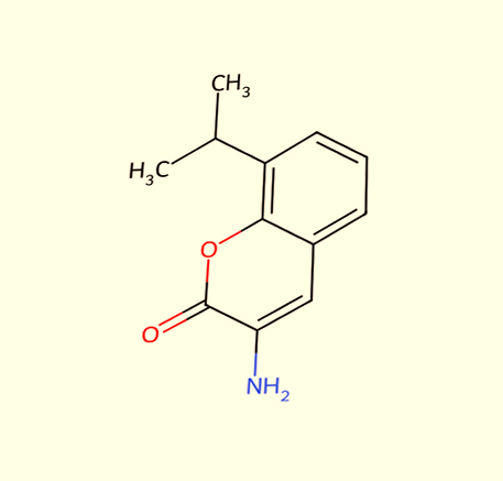 CC(C)c1cccc2cc(N)c(=O)oc12